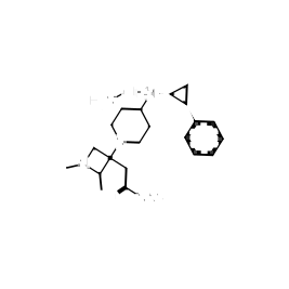 CNC(=O)CC1(N2CCC(N[C@@H]3C[C@H]3c3ccccc3)CC2)CN(C)C1C.NC=O